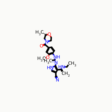 C=C(NCC)c1c(C#N)c[nH]c1/N=C(\C)Nc1ccc(C(=O)N2CCO[C@@H](C)C2)cc1OC